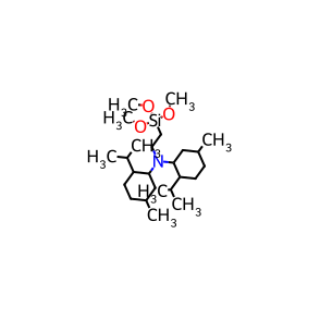 CO[Si](CCN(C1CC(C)CCC1C(C)C)C1CC(C)CCC1C(C)C)(OC)OC